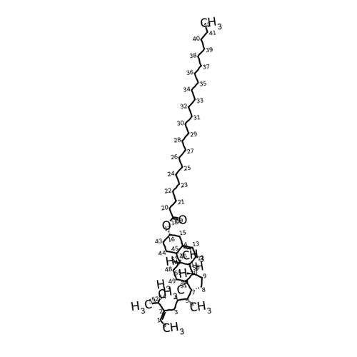 C/C=C(\CC[C@@H](C)[C@H]1CC[C@H]2[C@@H]3CC=C4C[C@@H](OC(=O)CCCCCCCCCCCCCCCCCCCCCCC)CC[C@]4(C)[C@H]3CC[C@]12C)C(C)C